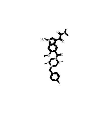 COc1cc2c(cc1C(=O)N1C[C@H](C)N(Cc3ccc(F)cc3)C[C@H]1C)c(C(=O)C(=O)N(C)C)cn2N